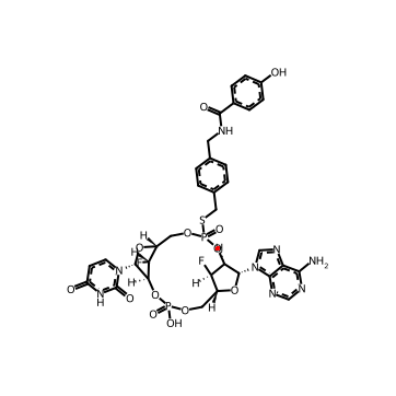 Nc1ncnc2c1ncn2[C@@H]1O[C@@H]2COP(=O)(O)O[C@@H]3[C@H](F)[C@@H](COP(=O)(SCc4ccc(CNC(=O)c5ccc(O)cc5)cc4)O[C@@H]1[C@@H]2F)O[C@H]3n1ccc(=O)[nH]c1=O